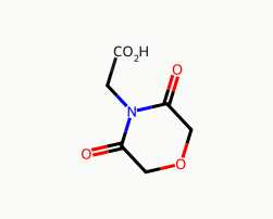 O=C(O)CN1C(=O)COCC1=O